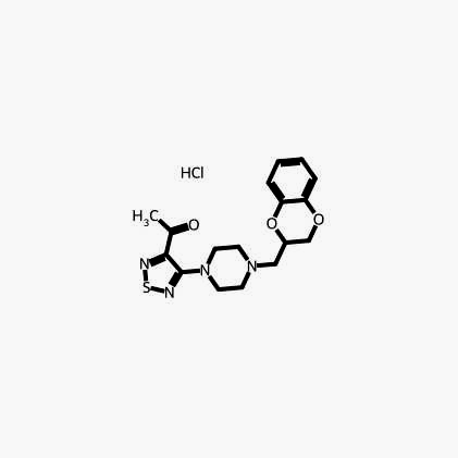 CC(=O)c1nsnc1N1CCN(CC2COc3ccccc3O2)CC1.Cl